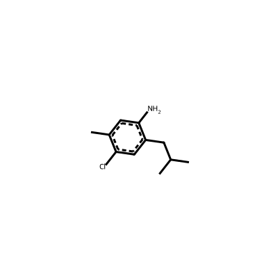 Cc1cc(N)c(CC(C)C)cc1Cl